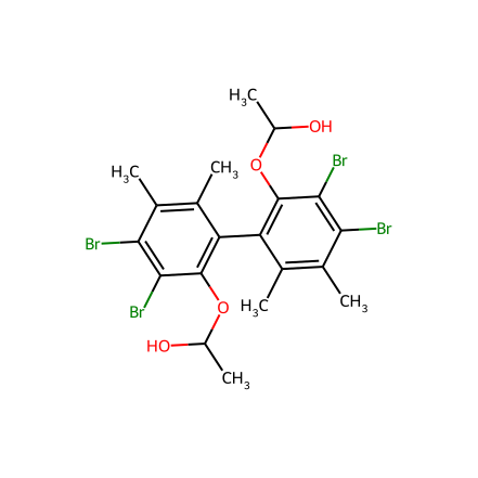 Cc1c(C)c(-c2c(C)c(C)c(Br)c(Br)c2OC(C)O)c(OC(C)O)c(Br)c1Br